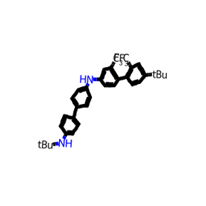 CC(C)(C)Nc1ccc(-c2ccc(Nc3ccc(-c4ccc(C(C)(C)C)cc4C(F)(F)F)c(C(F)(F)F)c3)cc2)cc1